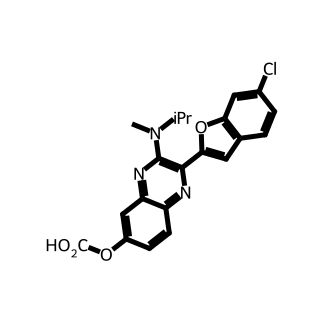 CC(C)N(C)c1nc2cc(OC(=O)O)ccc2nc1-c1cc2ccc(Cl)cc2o1